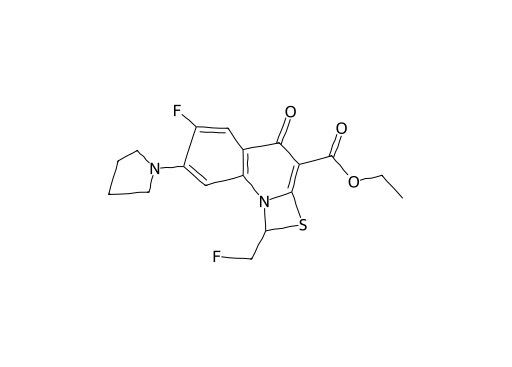 CCOC(=O)c1c2n(c3cc(N4CCCC4)c(F)cc3c1=O)C(CF)S2